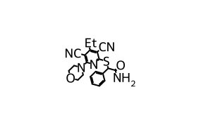 CCc1c(C#N)c(SC(C(N)=O)c2ccccc2)nc(N2CCOCC2)c1C#N